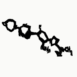 CCN(C)C1CCN(c2cc(F)c(-c3cnc(N4CCOCC4)nc3)cc2N)C1